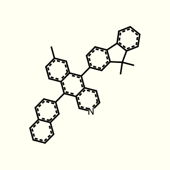 Cc1ccc2c(-c3ccc4ccccc4c3)c3cnccc3c(-c3ccc4c(c3)C(C)(C)c3ccccc3-4)c2c1